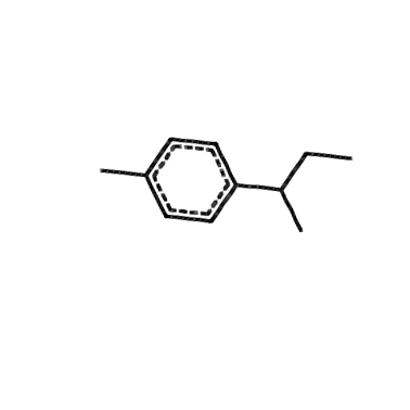 CCC(C)c1ccc(C)cc1